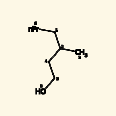 CCCCC(C)CCO